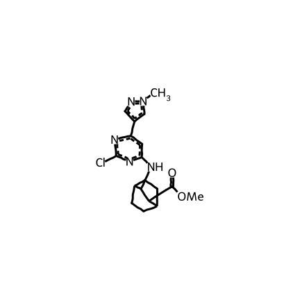 COC(=O)C1C2CCC(CC2)C1Nc1cc(-c2cnn(C)c2)nc(Cl)n1